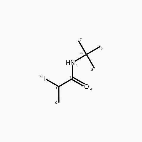 CC(I)C(=O)NC(C)(C)C